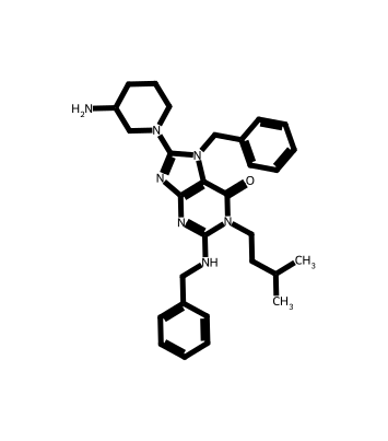 CC(C)CCn1c(NCc2ccccc2)nc2nc(N3CCCC(N)C3)n(Cc3ccccc3)c2c1=O